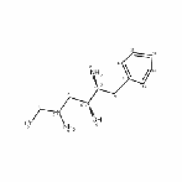 CC(C)CN(N)C[C@H](O)[C@@H](N)Cc1ccccc1